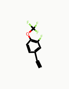 [C]#Cc1ccc(OC(F)(F)F)c(F)c1